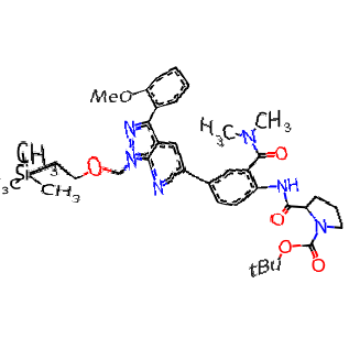 COc1ccccc1-c1nn(COCC[Si](C)(C)C)c2ncc(-c3ccc(NC(=O)C4CCCN4C(=O)OC(C)(C)C)c(C(=O)N(C)C)c3)cc12